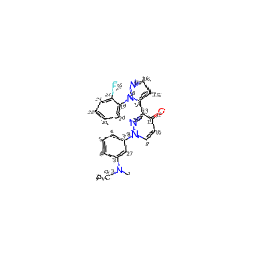 CC(=O)N(C)c1cccc(-n2ccc(=O)c(-c3ccnn3-c3ccccc3F)n2)c1